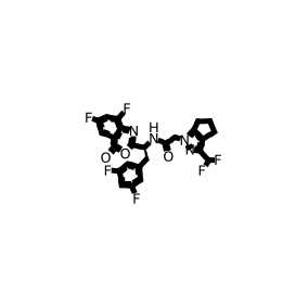 O=C(Cn1nc(C(F)F)c2c1CCC2)N[C@@H](Cc1cc(F)cc(F)c1)c1nc2c(F)cc(F)cc2c(=O)o1